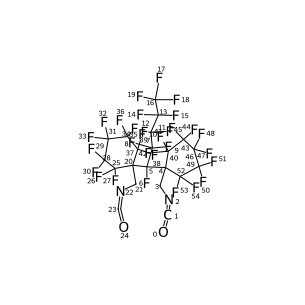 O=C=NCC1(C(F)(C(F)(F)C(F)(F)C(F)(F)C(F)(F)F)C2(CN=C=O)C(F)(F)C(F)(F)C(F)(F)C(F)(F)C2(F)F)C(F)(F)C(F)(F)C(F)(F)C(F)(F)C1(F)F